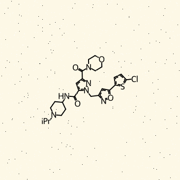 CC(C)N1CCC(NC(=O)c2cc(C(=O)N3CCOCC3)nn2Cc2cc(-c3ccc(Cl)s3)on2)CC1